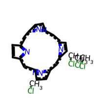 C1=Cc2cc3ccc(cc4nc(cc5ccc(cc1n2)[nH]5)C=C4)[nH]3.CCl.CCl.CCl.CCl